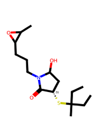 CCC(C)(CC)S[C@H]1CC(O)N(CCCC2OC2C)C1=O